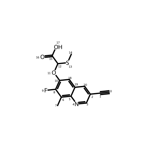 C#Cc1cnc2c(C)c(F)c(OC(SC)C(=O)O)cc2c1